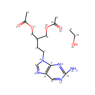 CC(=O)OCC(CCn1cnc2cnc(N)nc21)COC(C)=O.CCO